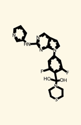 OC(O)(c1c(F)cc(-n2ccc3cnc(Nc4cccnc4)nc32)cc1F)N1CCSCC1